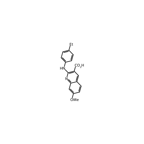 CCc1ccc(Nc2nc3cc(OC)ccc3cc2C(=O)O)cc1